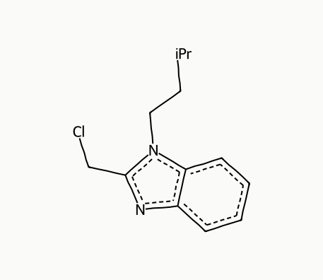 CC(C)CCn1c(CCl)nc2ccccc21